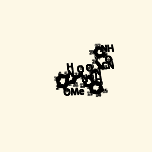 COc1cccc2[nH]c(C(=O)N3Cc4ccccc4[C@@H]3C(=O)N[C@H](C#N)C[C@@H]3CCNC3=O)cc12